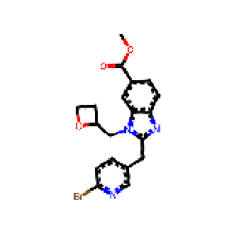 COC(=O)c1ccc2nc(Cc3ccc(Br)nc3)n(CC3CCO3)c2c1